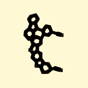 N#Cc1ccc(-n2c3ccccc3c3ccccc32)c(-c2ccc3oc4cc5oc6ccc(C#N)cc6c5cc4c3c2)c1